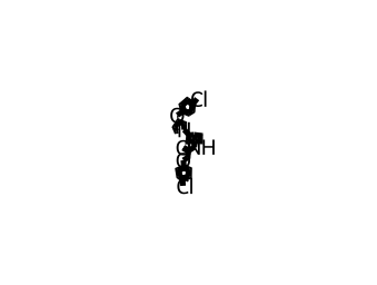 O=C(COc1ccc(Cl)cc1)NC12CCC1C(N1CC[C@H](Oc3ccc(Cl)cc3)C1)C2